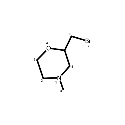 CN1CCOC(CBr)C1